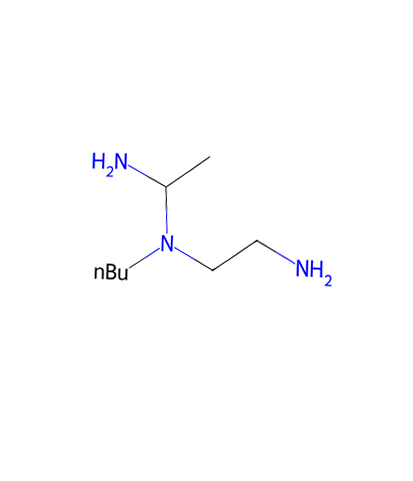 CCCCN(CCN)C(C)N